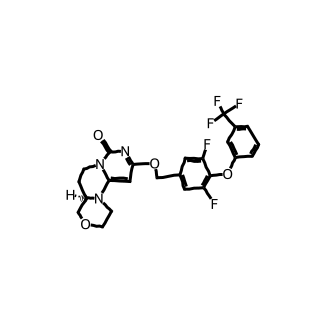 O=c1nc(OCc2cc(F)c(Oc3cccc(C(F)(F)F)c3)c(F)c2)cc2n1CC[C@@H]1COCCN21